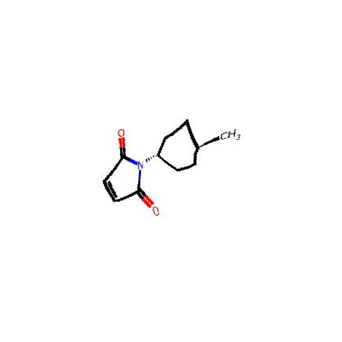 C[C@H]1CC[C@H](N2C(=O)C=CC2=O)CC1